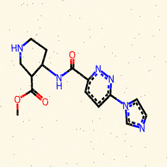 COC(=O)C1CNCCC1NC(=O)c1ccc(-n2ccnc2)nn1